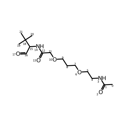 CC(=O)NCCOCCCOCC(=O)NC(C=O)C(C)(C)C